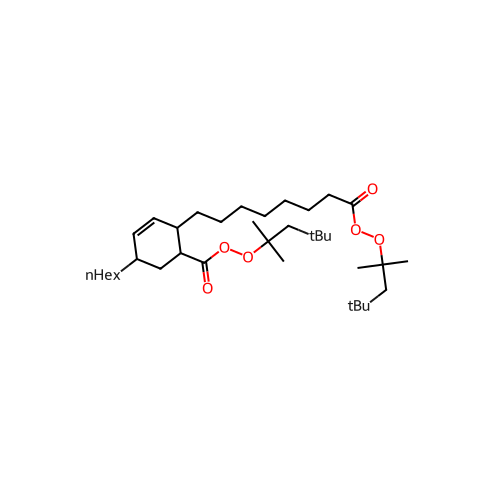 CCCCCCC1C=CC(CCCCCCCC(=O)OOC(C)(C)CC(C)(C)C)C(C(=O)OOC(C)(C)CC(C)(C)C)C1